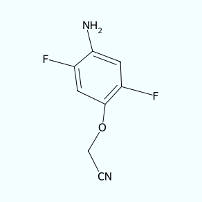 N#CCOc1cc(F)c(N)cc1F